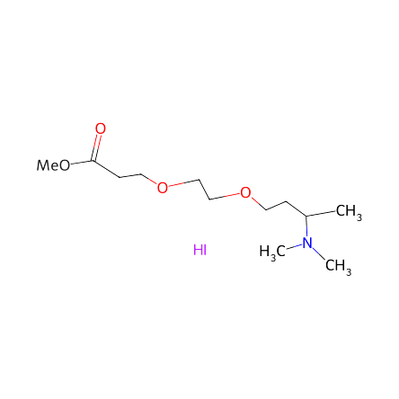 COC(=O)CCOCCOCCC(C)N(C)C.I